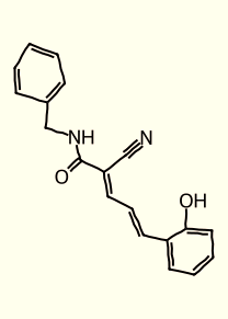 N#C/C(=C\C=C\c1ccccc1O)C(=O)NCc1ccccc1